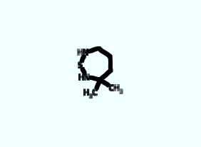 CC1(C)CCCNSN1